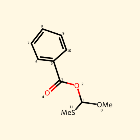 [CH2]OC(OC(=O)c1ccccc1)SC